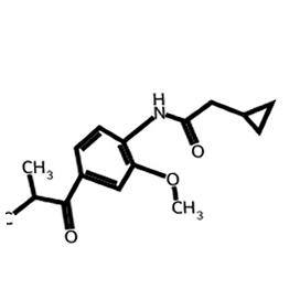 COc1cc(C(=O)C(C)C)ccc1NC(=O)CC1CC1